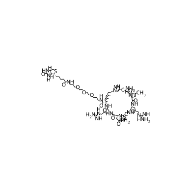 CC(C)C[C@@H]1NC(=O)[C@@H](N)Cc2cn(nn2)CCCC[C@@H](C(=O)NCCCOCCOCCOCCCNC(=O)CCCC[C@H]2SC[C@H]3NC(=O)N[C@H]32)NC(=O)[C@H](CCCNC(=N)N)NC(=O)[C@H](CC(N)=O)NC(=O)CNC(=O)[C@H](CCCNC(=N)N)NC1=O